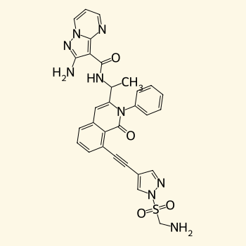 CC(NC(=O)c1c(N)nn2cccnc12)c1cc2cccc(C#Cc3cnn(S(=O)(=O)CN)c3)c2c(=O)n1-c1ccccc1